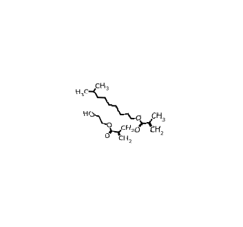 C=C(C)C(=O)OCCCCCCCC(C)C.C=C(C)C(=O)OCCO